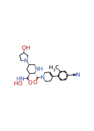 Cc1cc(C#N)ccc1C1=CCN(C(=O)[C@H]2NC[C@H](N3CC[C@@H](O)C3)C[C@@H]2C(=O)NO)CC1